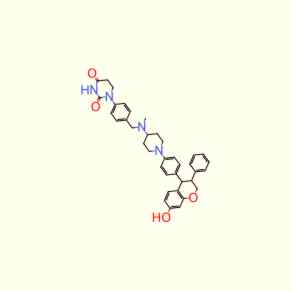 CN(Cc1ccc(N2CCC(=O)NC2=O)cc1)C1CCN(c2ccc(C3c4ccc(O)cc4OCC3c3ccccc3)cc2)CC1